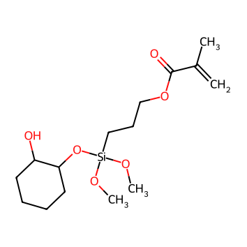 C=C(C)C(=O)OCCC[Si](OC)(OC)OC1CCCCC1O